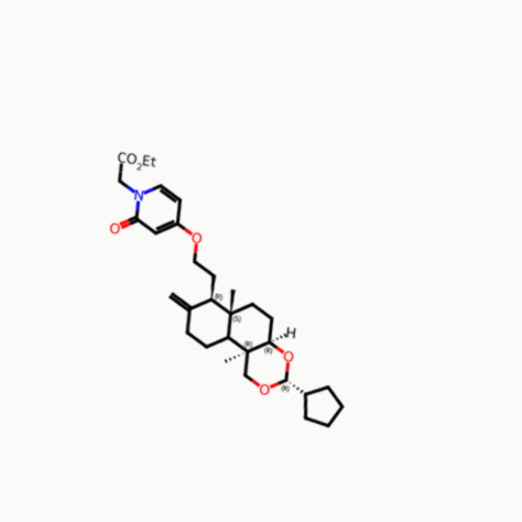 C=C1CCC2[C@]3(C)CO[C@@H](C4CCCC4)O[C@@H]3CC[C@@]2(C)[C@@H]1CCOc1ccn(CC(=O)OCC)c(=O)c1